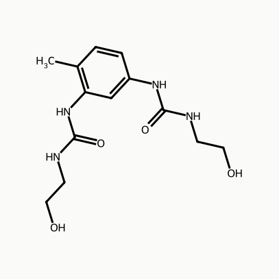 Cc1ccc(NC(=O)NCCO)cc1NC(=O)NCCO